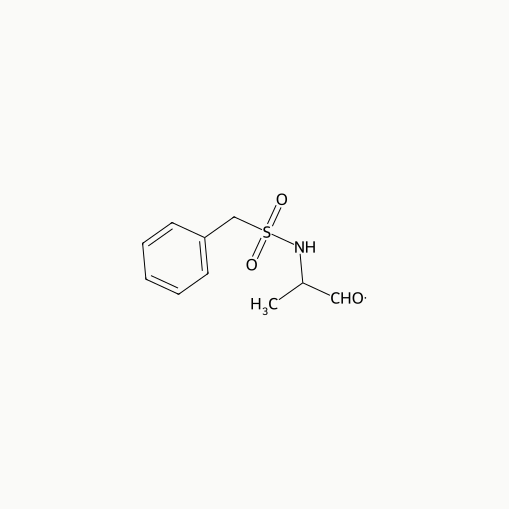 CC([C]=O)NS(=O)(=O)Cc1ccccc1